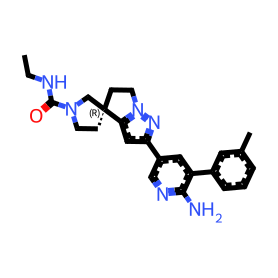 CCNC(=O)N1CC[C@@]2(CCn3nc(-c4cnc(N)c(-c5cccc(C)c5)c4)cc32)C1